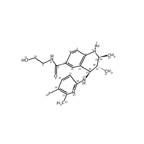 CC(=O)N1c2ccc(C(=O)NCCO)cc2[C@H](Nc2ccc(F)c(C)n2)[C@@H](C)[C@@H]1C